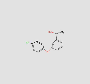 CC(O)c1cccc(Oc2ccc(Cl)cc2)c1